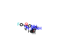 C=C(C)c1nc2cc(NC(=N[C@H]3C[C@H]4C[C@@H]([C@@H]3C)C4(C)C)N3CCN[C@@H](C)C3)ccc2c(=O)n1CCc1ccc(F)cc1